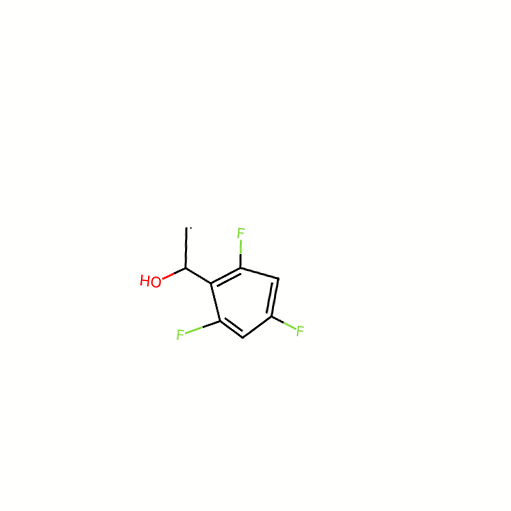 [CH2]C(O)c1c(F)cc(F)cc1F